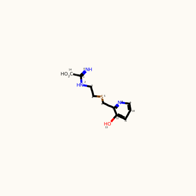 N=C(NCCSCc1ncccc1O)C(=O)O